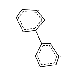 [c]1c[c]cc(-c2c[c]ccc2)c1